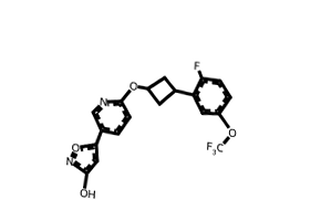 Oc1cc(-c2ccc(OC3CC(c4cc(OC(F)(F)F)ccc4F)C3)nc2)on1